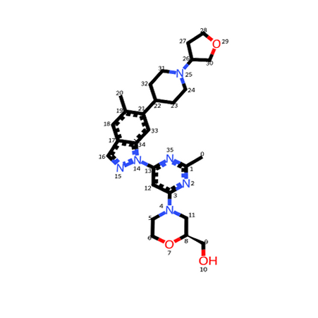 Cc1nc(N2CCO[C@H](CO)C2)cc(-n2ncc3cc(C)c(C4CCN(C5CCOC5)CC4)cc32)n1